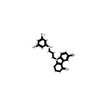 O=C1CCCc2c1c1cc(Br)ccc1n2CCCSc1cc(F)cc(F)c1